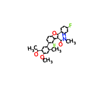 CNC(=O)c1c(-c2ccc(F)cc2)oc2ccc(-c3cc(C(C)=O)c(OC)cc3C)c(F)c12